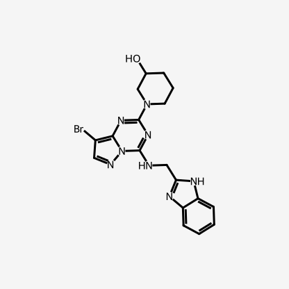 OC1CCCN(c2nc(NCc3nc4ccccc4[nH]3)n3ncc(Br)c3n2)C1